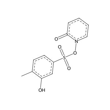 Cc1ccc(S(=O)(=O)On2ccccc2=O)cc1O